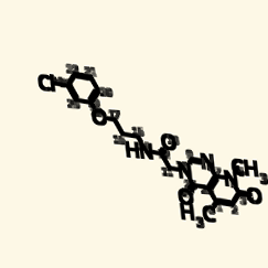 Cc1cc(=O)n(C)c2ncn(CC(=O)NCCCOc3cccc(Cl)c3)c(=O)c12